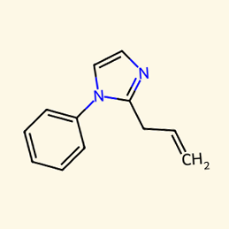 C=CCc1nccn1-c1ccccc1